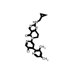 Cc1cnc(-c2cc(N3CCc4nc(NCC5CC5)ncc4C3=O)ncc2Cl)c(C)c1